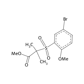 COC(=O)C(C)(C)S(=O)(=O)c1cc(Br)ccc1OC